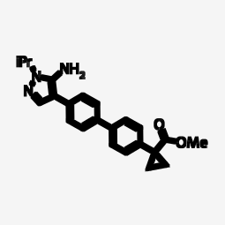 COC(=O)C1(c2ccc(-c3ccc(-c4cnn(C(C)C)c4N)cc3)cc2)CC1